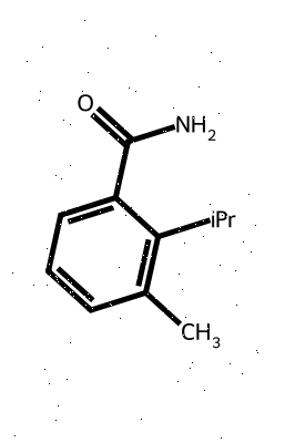 Cc1cccc(C(N)=O)c1C(C)C